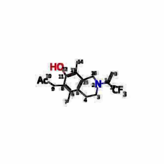 C=C(N1CCc2c(C)c(CC(C)=O)c(O)c(C)c2C1)C(F)(F)F